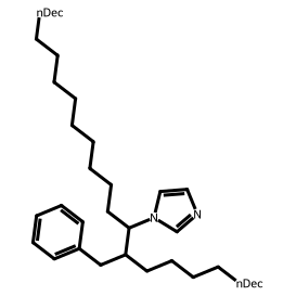 CCCCCCCCCCCCCCCCCCCC(C(CCCCCCCCCCCCCC)Cc1ccccc1)n1ccnc1